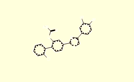 O=C(O)Oc1cc(-c2nc(-c3ccc(Cl)c(Cl)c3)cs2)ccc1-c1ccccc1Cl